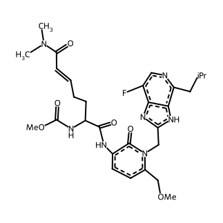 COCc1ccc(NC(=O)C(CC/C=C/C(=O)N(C)C)NC(=O)OC)c(=O)n1Cc1nc2c(F)cnc(CC(C)C)c2[nH]1